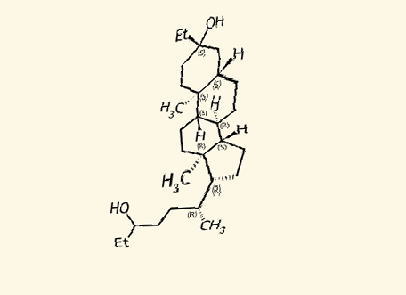 CCC(O)CC[C@@H](C)[C@H]1CC[C@H]2[C@@H]3CC[C@H]4C[C@](O)(CC)CC[C@]4(C)[C@H]3CC[C@]12C